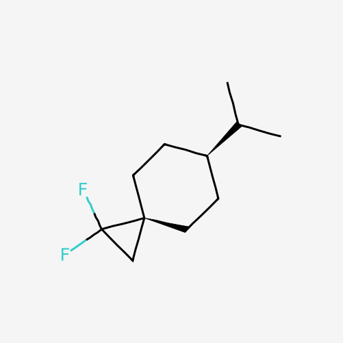 CC(C)[C@H]1CC[C@@]2(CC1)CC2(F)F